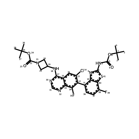 CC(C)(C)OC(=O)Nc1nc2c(-c3c(Cl)cc4c(NC5CN(C(=O)OC(C)(C)C)C5)ncnc4c3F)ccc(F)c2s1